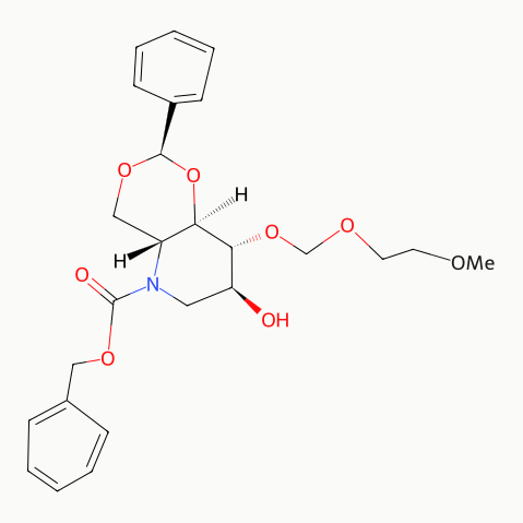 COCCOCO[C@H]1[C@@H]2O[C@H](c3ccccc3)OC[C@H]2N(C(=O)OCc2ccccc2)C[C@@H]1O